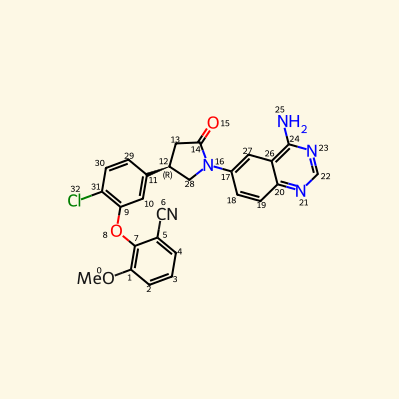 COc1cccc(C#N)c1Oc1cc([C@H]2CC(=O)N(c3ccc4ncnc(N)c4c3)C2)ccc1Cl